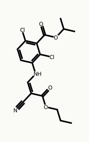 CCCOC(=O)C(C#N)=CNc1ccc(Cl)c(C(=O)OC(C)C)c1Cl